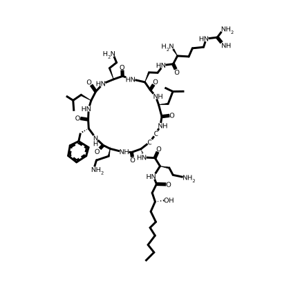 CCCCCCC[C@@H](O)CC(=O)N[C@H](CCN)C(=O)N[C@H]1CCNC(=O)[C@H](CC(C)C)NC(=O)[C@H](CCNC(=O)[C@@H](N)CCCNC(=N)N)NC(=O)[C@H](CCN)NC(=O)[C@H](CC(C)C)NC(=O)[C@@H](Cc2ccccc2)NC(=O)[C@H](CCN)NC1=O